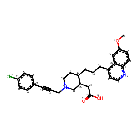 COc1ccc2nccc(CCC[C@@H]3CCN(CC#Cc4ccc(Cl)cc4)C[C@@H]3CC(=O)O)c2c1